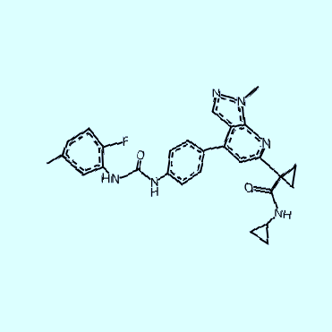 Cc1ccc(F)c(NC(=O)Nc2ccc(-c3cc(C4(C(=O)NC5CC5)CC4)nc4c3cnn4C)cc2)c1